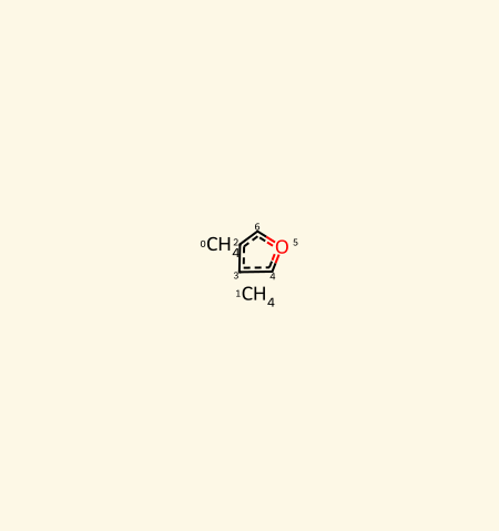 C.C.c1ccoc1